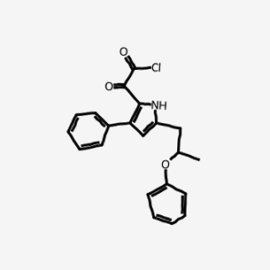 CC(Cc1cc(-c2ccccc2)c(C(=O)C(=O)Cl)[nH]1)Oc1ccccc1